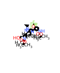 CC(C)c1nc(-c2cc(NC(=O)OC(C)(C)C)cc(F)c2OC(F)(F)F)c(F)c2c1c([C@@H]1[C@H]3CN(C(=O)OC(C)(C)C)[C@H](CCO)[C@H]31)nn2C1CC1